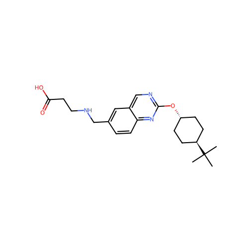 CC(C)(C)[C@H]1CC[C@H](Oc2ncc3cc(CNCCC(=O)O)ccc3n2)CC1